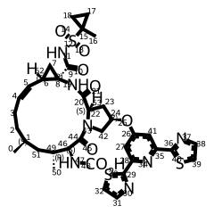 C[C@H]1CCC=C[C@@H]2C[C@@]2(C(=O)NS(=O)(=O)C2(C)CC2)NC(=O)[C@@H]2C[C@@H](Oc3cc(-c4nccs4)nc(-c4nccs4)c3)CN2C(=O)[C@@H](NC(=O)O)[C@H](C)C1